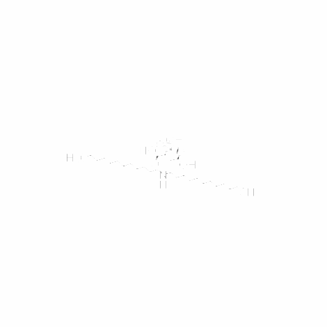 CCCCCCCCCCCCNCCCCCCCCCCCC.O=C(O)CC(C(=O)O)S(=O)(=O)O